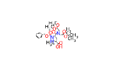 COC(CN(CC(=O)OC(C)(C)C)C(=O)[C@@H](CC(C)C(=O)O)NC(=O)OCc1ccccc1)OC